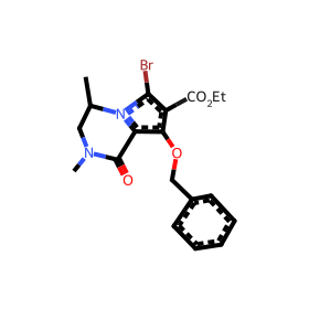 CCOC(=O)c1c(OCc2ccccc2)c2n(c1Br)C(C)CN(C)C2=O